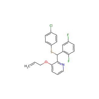 C=CCOc1cccnc1C(Sc1ccc(Cl)cc1)c1cc(F)ccc1F